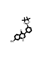 CC(C)(C)c1ccc2c(=O)c(-c3cccc(B4OC(C)(C)C(C)(C)O4)c3)c[nH]c2c1